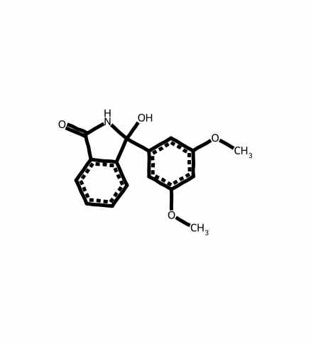 COc1cc(OC)cc(C2(O)NC(=O)c3ccccc32)c1